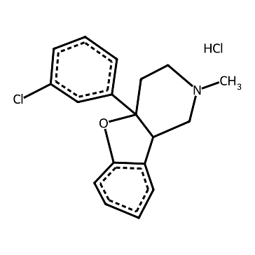 CN1CCC2(c3cccc(Cl)c3)Oc3ccccc3C2C1.Cl